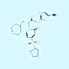 N#Cc1cnc(NC(=O)[C@H](CC2CCOCC2)n2ccc(S(=O)(=O)C3CCCC3)cc2=O)s1